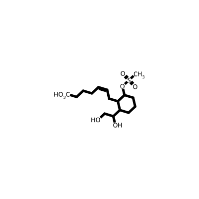 CS(=O)(=O)OC1CCCC(C(O)CO)C1C/C=C\CCCC(=O)O